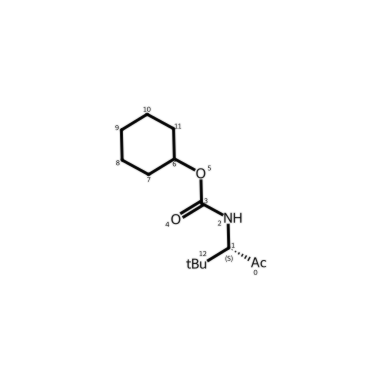 CC(=O)[C@@H](NC(=O)OC1CCCCC1)C(C)(C)C